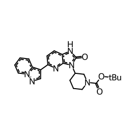 CC(C)(C)OC(=O)N1CCCC(n2c(=O)[nH]c3ccc(-c4cnn5ccccc45)nc32)C1